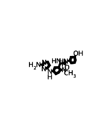 CNc1ccc(Nc2ccnc(N)n2)cc1C(=N)C(=O)Nc1cccc(O)c1